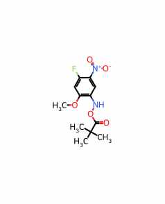 COc1cc(F)c([N+](=O)[O-])cc1NOC(=O)C(C)(C)C